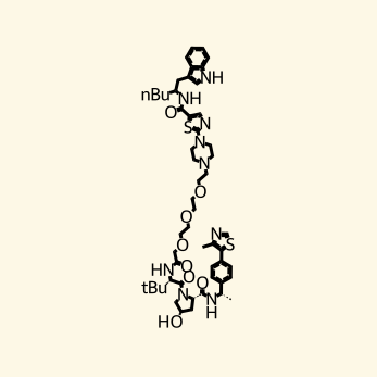 CCCCC(Cc1c[nH]c2ccccc12)NC(=O)c1cnc(N2CCN(CCOCCOCCOCC(=O)N[C@H](C(=O)N3C[C@H](O)C[C@H]3C(=O)N[C@@H](C)c3ccc(-c4scnc4C)cc3)C(C)(C)C)CC2)s1